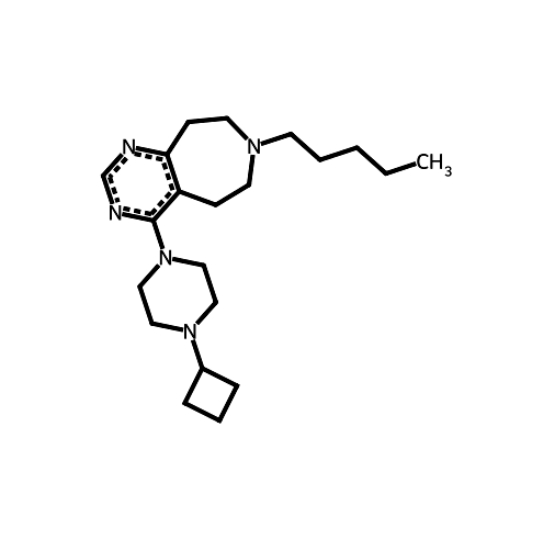 CCCCCN1CCc2ncnc(N3CCN(C4CCC4)CC3)c2CC1